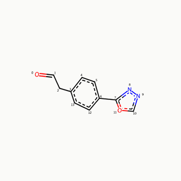 O=CCc1ccc(-c2nnco2)cc1